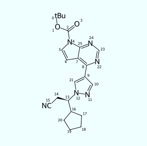 CC(C)(C)OC(=O)n1ccc2c(-c3cnn([C@H](CC#N)C4CCCC4)c3)ncnc21